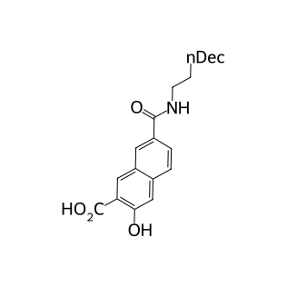 CCCCCCCCCCCCNC(=O)c1ccc2cc(O)c(C(=O)O)cc2c1